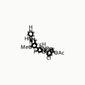 COc1cc(-c2c(F)ccc(NS(=O)(=O)c3cc(Cl)cc4c3OCC4OC(C)=O)c2F)cc2cnc(NC3CCNCC3)nc12